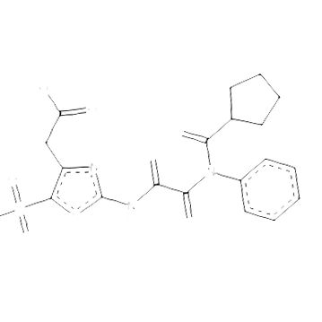 CS(=O)(=O)c1sc(NC(=O)C(=O)N(C(=O)C2CCCC2)c2ccccc2)nc1CC(=O)O